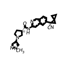 Cn1cc(N2CC[C@H](C(=O)Nc3cc4cc([C@]5(C#N)CC56CC6)ccc4cn3)C2)cn1